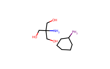 NC(CO)(CO)CO.PC1CCCCC1